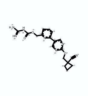 N#CC1(COc2ncc(-c3cccc(COC(=O)NC(=N)N)n3)cn2)CCC1